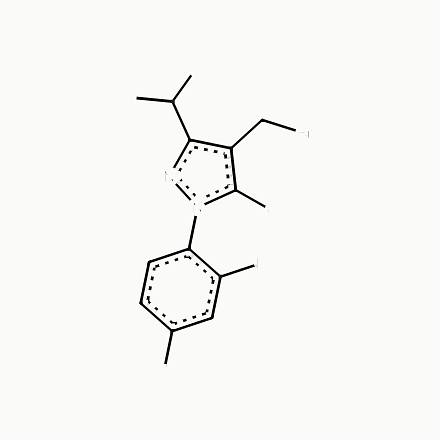 Fc1ccc(-n2nc(C(F)F)c(CBr)c2Cl)c(F)c1